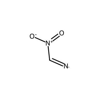 [N]=C[N+](=O)[O-]